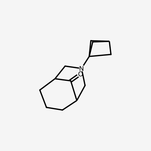 O=C1C2CCCC1CN(C13CC(C1)C3)C2